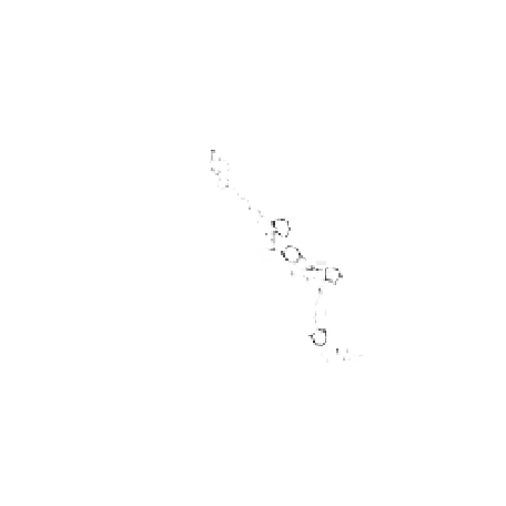 COc1ccc(COCCCc2ccccc2C(=S)Nc2ccc(C(=O)N(C)c3ccc(C)cc3OCCCCCC(=O)N3CCN(C)CC3)cc2OC)cc1